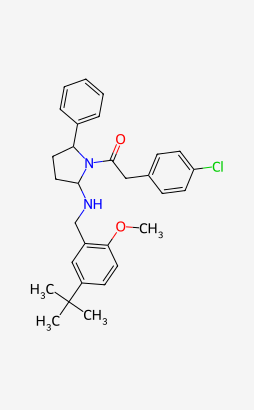 COc1ccc(C(C)(C)C)cc1CNC1CCC(c2ccccc2)N1C(=O)Cc1ccc(Cl)cc1